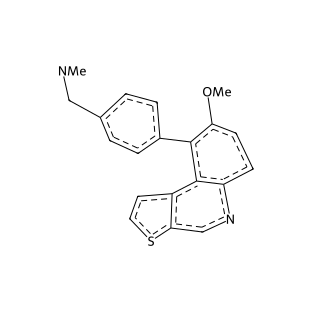 CNCc1ccc(-c2c(OC)ccc3ncc4sccc4c23)cc1